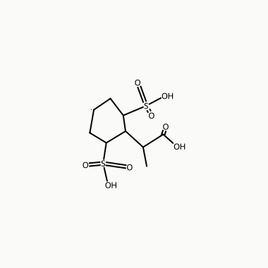 CC(C(=O)O)C1C(S(=O)(=O)O)C[CH]CC1S(=O)(=O)O